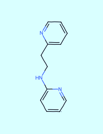 [c]1ccc(NCCc2ccccn2)nc1